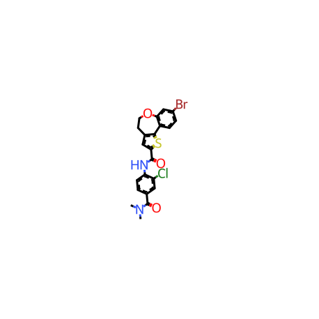 CN(C)C(=O)c1ccc(NC(=O)c2cc3c(s2)-c2ccc(Br)cc2OCC3)c(Cl)c1